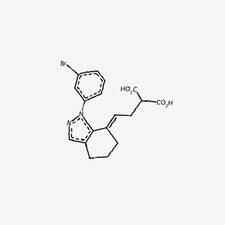 O=C(O)C(C/C=C1\CCCc2cnn(-c3cccc(Br)c3)c21)C(=O)O